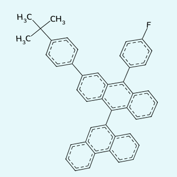 CC(C)(C)c1ccc(-c2ccc3c(-c4cc5ccccc5c5ccccc45)c4ccccc4c(-c4ccc(F)cc4)c3c2)cc1